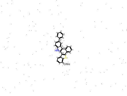 COc1cccc2c1sc1c3ccccc3c3c4cc(-c5ccccc5)ccc4[nH]c3c21